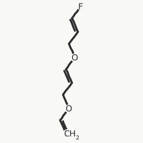 C=COCC=COCC=CF